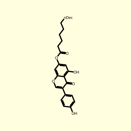 CCCCCCCCCCCCCCCC(=O)Oc1cc(O)c2c(=O)c(-c3ccc(O)cc3)coc2c1